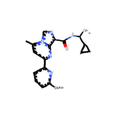 COc1cccc(-c2cc(C)n3cnc(C(=O)NC(C4CC4)C(F)(F)F)c3n2)n1